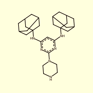 c1c(NC23CC4CC(CC(C4)C2)C3)nc(N2CCNCC2)nc1NC12CC3CC(CC(C3)C1)C2